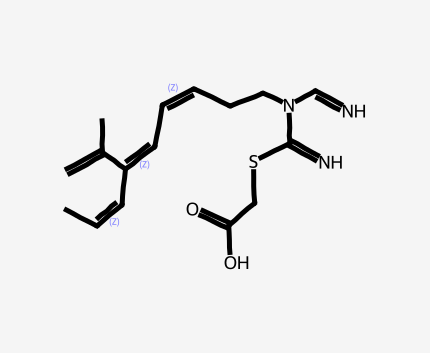 C=C(C)C(/C=C\C)=C\C=C/CCN(C=N)C(=N)SCC(=O)O